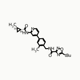 Cc1cc(-c2ccnc(NC(=O)[C@@H]3C[C@@H]3C)c2)ccc1CNC(=O)c1noc(C(C)(C)C)n1